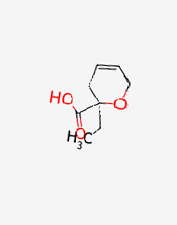 CCC1(C(=O)O)CC=CCO1